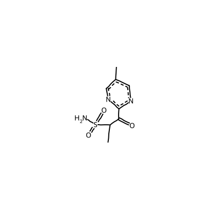 Cc1cnc(C(=O)C(C)S(N)(=O)=O)nc1